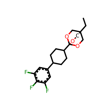 CCC12COC(C3CCC(c4cc(F)c(F)c(F)c4)CC3)(OC1)OC2